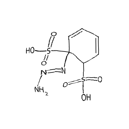 NN=NC1(S(=O)(=O)O)C=CC=CC1S(=O)(=O)O